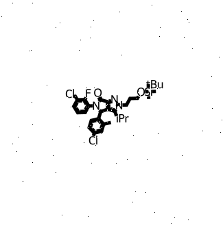 Cc1cc(Cl)ccc1C1c2c(nn(CCCO[Si](C)(C)C(C)(C)C)c2C(C)C)C(=O)N1c1cccc(Cl)c1F